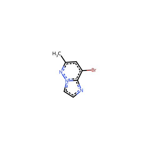 Cc1cc(Br)c2nccn2n1